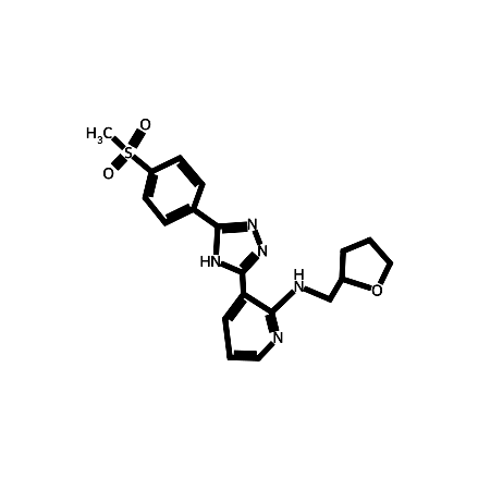 CS(=O)(=O)c1ccc(-c2nnc(-c3cccnc3NCC3CCCO3)[nH]2)cc1